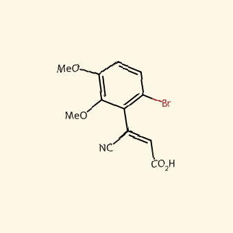 COc1ccc(Br)c(C(C#N)=CC(=O)O)c1OC